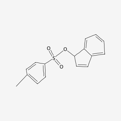 Cc1ccc(S(=O)(=O)OC2C=Cc3ccccc32)cc1